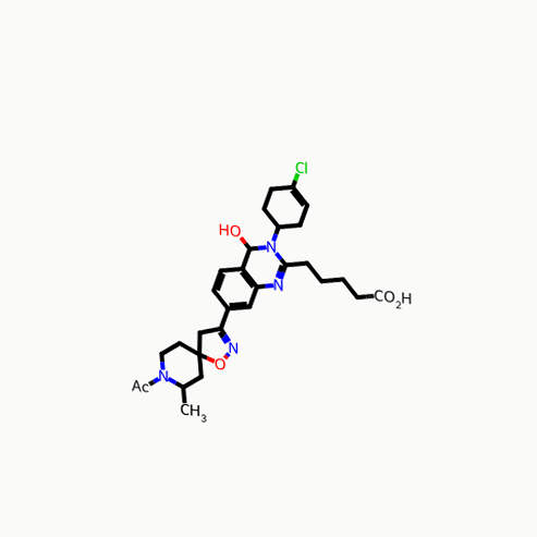 CC(=O)N1CCC2(CC(c3ccc4c(c3)N=C(CCCCC(=O)O)N(C3CC=C(Cl)CC3)C4O)=NO2)CC1C